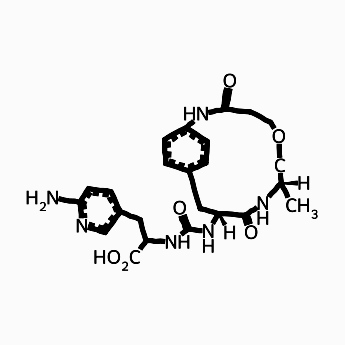 C[C@H]1COCCC(=O)Nc2ccc(cc2)C[C@@H](NC(=O)NC(Cc2ccc(N)nc2)C(=O)O)C(=O)N1